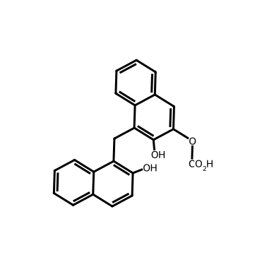 O=C(O)Oc1cc2ccccc2c(Cc2c(O)ccc3ccccc23)c1O